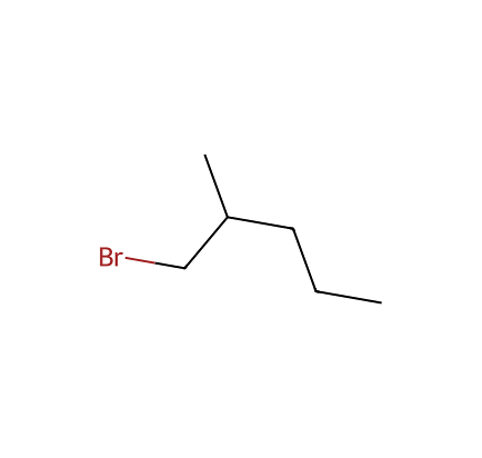 CCCC(C)CBr